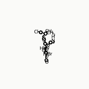 CC1(C)CCC(CN2CCN(c3ccc(C(=O)NS(=O)(=O)c4cnc(OCC5CCOCC5)c(Br)c4)c(Oc4ccc5[nH]ccc5c4)c3)CC2)=C(c2ccc(Cl)cc2)C1